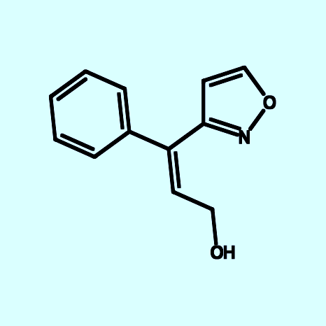 OCC=C(c1ccccc1)c1ccon1